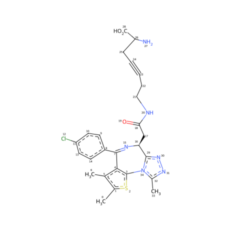 Cc1sc2c(c1C)C(c1ccc(Cl)cc1)=N[C@@H](CC(=O)NCCC#CCC(N)C(=O)O)c1nnc(C)n1-2